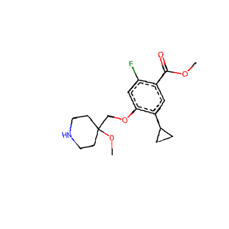 COC(=O)c1cc(C2CC2)c(OCC2(OC)CCNCC2)cc1F